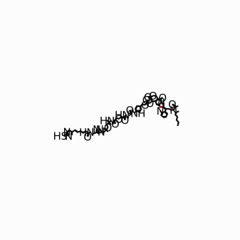 CCCCCC(C)N(CCc1c2c(nc3ccccc13)-c1cc3c(c(=O)n1C2)COC(=O)C3OC(=O)OCc1ccc(NC(=O)CNC(=O)COCC(=O)NC(C)(C)COC(C)(C)Cn2cc(CNC(=O)CCC/C=C/c3cnc(S)nc3)nn2)cc1)C(C)=O